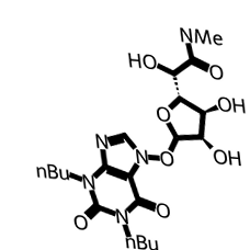 CCCCn1c(=O)c2c(ncn2OC2O[C@H](C(O)C(=O)NC)[C@@H](O)[C@H]2O)n(CCCC)c1=O